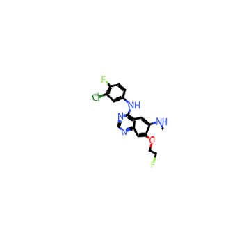 CNc1cc2c(Nc3ccc(F)c(Cl)c3)ncnc2cc1OCCF